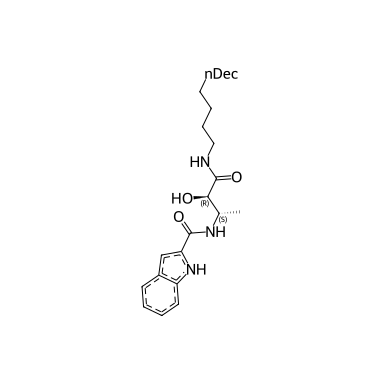 CCCCCCCCCCCCCCNC(=O)[C@H](O)[C@H](C)NC(=O)c1cc2ccccc2[nH]1